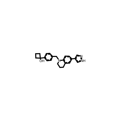 OC1(c2ccc(CN3CCCc4cc(-c5cn[nH]c5)ccc43)cc2)CCC1